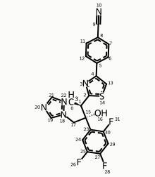 C[C@@H](c1nc(-c2ccc(C#N)cc2)cs1)[C@](O)(Cn1cncn1)c1cc(F)c(F)cc1F